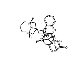 CC1(C)[C@H]2CC[C@@H](CCN3[C@@H]4CCC[C@H]3CC(n3c(=O)c(-c5cccc(=O)[nH]5)nc5ccccc53)C4)[C@H]1C2